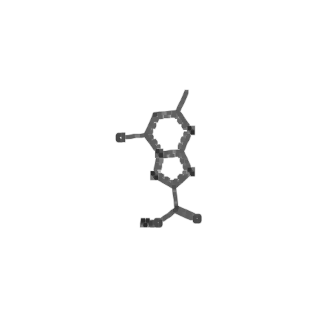 COC(=O)c1nc2nc(C)cc(Cl)n2n1